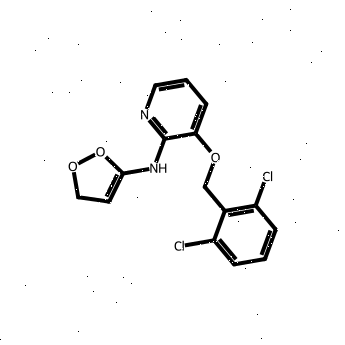 Clc1cccc(Cl)c1COc1cccnc1NC1=CCOO1